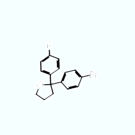 Fc1ccc(C2(c3ccc(Br)cc3)CCCO2)cc1